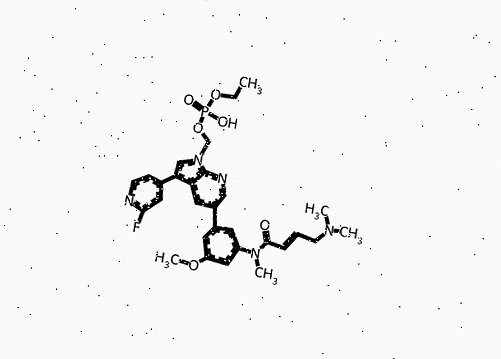 CCOP(=O)(O)OCn1cc(-c2ccnc(F)c2)c2cc(-c3cc(OC)cc(N(C)C(=O)C=CCN(C)C)c3)cnc21